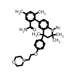 CC(=O)N1c2ccc(-c3c(C)cc(C)cc3C(N)=O)cc2C(C)(c2ccc(OCCN3CCOCC3)cc2)CC1(C)C